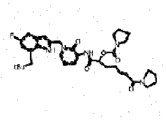 CC(C)(C)Cc1cc(F)cc2cc(Cn3cccc(NC(=O)C(CCC=CC(=O)N4CCCC4)OC(=O)N4CCCC4)c3=O)[nH]c12